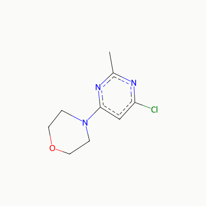 Cc1nc(Cl)cc(N2CCOCC2)n1